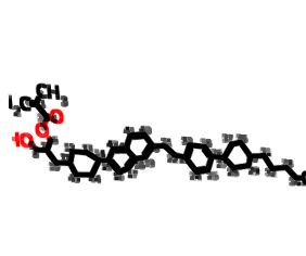 C=C(C)C(=O)OCC(CO)CC1CCC(c2ccc3cc(CCc4ccc(C5CCC(CCCCC)CC5)cc4)ccc3c2)CC1